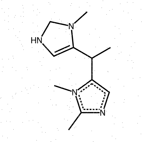 Cc1ncc(C(C)C2=CNCN2C)n1C